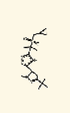 CN1N=C(C(C)(C)C)CC1c1nnc(C(C)(C)S(=O)(=O)CC2CC2)[nH]1